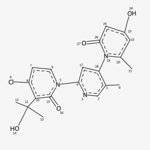 Cc1cnc(-n2ccc(Cl)c(C(C)(C)O)c2=O)cc1-n1c(C)cc(O)cc1=O